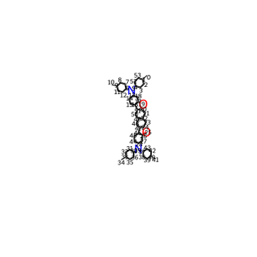 Cc1ccc(N(c2ccc(C)cc2)c2ccc3c(c2)oc2cc4cc5oc6cc(N(c7ccc(C)cc7)c7ccc(C)cc7)ccc6c5cc4cc23)cc1